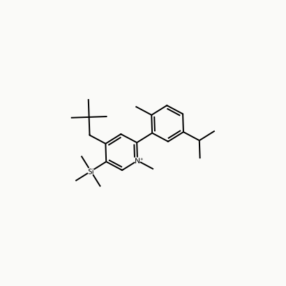 Cc1ccc(C(C)C)cc1-c1cc(CC(C)(C)C)c([Si](C)(C)C)c[n+]1C